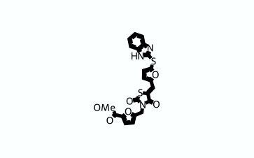 COC(=O)c1ccc(CN2C(=O)SC(=Cc3ccc(Sc4nc5ccccc5[nH]4)o3)C2=O)o1